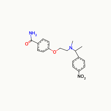 CC(c1ccc([N+](=O)[O-])cc1)N(C)CCOc1ccc(C(N)=O)cc1